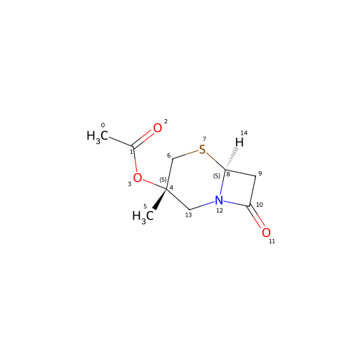 CC(=O)O[C@]1(C)CS[C@H]2CC(=O)N2C1